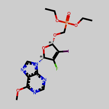 CCOP(=O)(CO[C@H]1O[C@@H](n2cnc3c(OC)ncnc32)C(F)=C1I)OCC